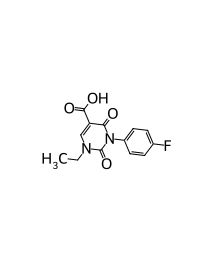 CCn1cc(C(=O)O)c(=O)n(-c2ccc(F)cc2)c1=O